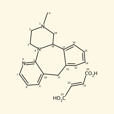 CN1CCN2c3ncccc3Cc3ccccc3C2C1.O=C(O)/C=C/C(=O)O